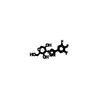 OC[C@H]1OC[C@H](O)[C@@H](n2cc(-c3cc(F)c(F)c(F)c3)nn2)[C@H]1O